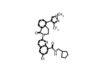 CCc1cc(C(=O)NCC2CCCC2)c2nc(N3CCc4c(cccc4-c4cn(C)nc4C(F)(F)F)C3=O)ccc2c1